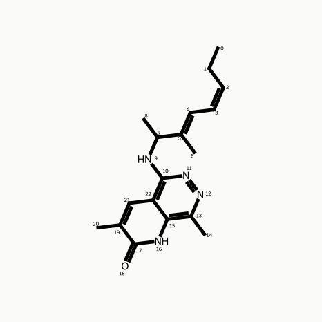 CC/C=C\C=C(/C)C(C)Nc1nnc(C)c2[nH]c(=O)c(C)cc12